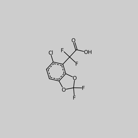 O=C(O)C(F)(F)c1c(Cl)ccc2c1OC(F)(F)O2